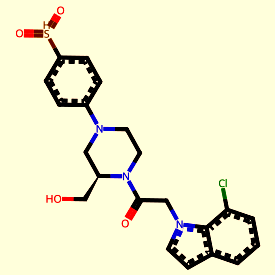 O=C(Cn1ccc2cccc(Cl)c21)N1CCN(c2ccc([SH](=O)=O)cc2)C[C@@H]1CO